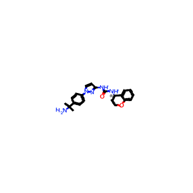 CC(C)(N)c1ccc(-n2ccc(NC(=O)N[C@H]3CCOc4ccccc43)n2)cc1